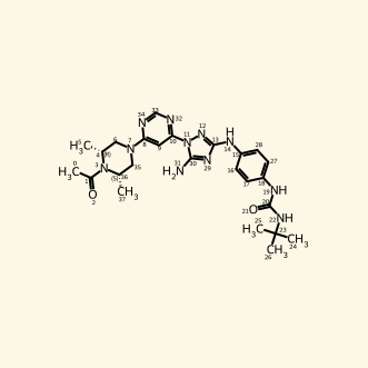 CC(=O)N1[C@H](C)CN(c2cc(-n3nc(Nc4ccc(NC(=O)NC(C)(C)C)cc4)nc3N)ncn2)C[C@@H]1C